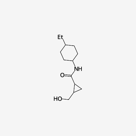 CCC1CCC(NC(=O)C2CC2CO)CC1